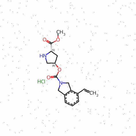 C=Cc1cccc2c1CN(C(=O)O[C@H]1CN[C@H](C(=O)OC)C1)C2.Cl